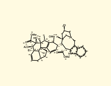 CC[C@@H]1C[C@@H]2C[N@](Cc3c([nH]c4ccccc34)[C@H](C(=O)OC)C2[C@@H]2C=CC3=C(C2OC)N(C)[C@H]2[C@@](O)(C(=O)OC)[C@H](OC(C)=O)[C@]4(CC)C=CCN5CC[C@]32[C@@H]54)C1